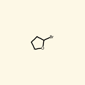 BrC1CC[CH]O1